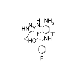 Nc1cc(F)c(N[C@@H](CO)c2ccc(F)cc2)c(F)c1Nc1cc(C2CC2)[nH]n1